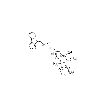 CCCCOCC1(C)C([C@@H](OC(C)=O)[C@H](O)OCCCNC(=O)OCC2c3ccccc3-c3ccccc32)[C@@H](OCCCC)[C@@H]1OCCCC